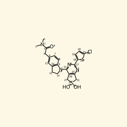 CN(C)C(=O)Cc1ccc2c(c1)CCN2c1nc(-c2ccc(Cl)s2)nc2c1CS(O)(O)C2